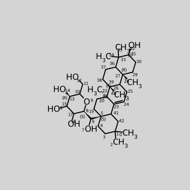 CC1(C)CC[C@]2(C(O)[C@@H]3OC(CO)[C@H](O)C(O)C3O)CC[C@]3(C)C(=CCC4[C@@]5(C)CC[C@H](O)C(C)(C)C5CC[C@]43C)C2C1